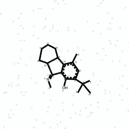 C/N=C1\c2c(O)c(C(C)(C)C)cc(C)c2C2CCCCC12